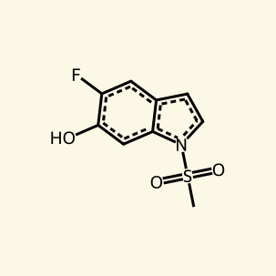 CS(=O)(=O)n1ccc2cc(F)c(O)cc21